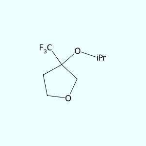 CC(C)OC1(C(F)(F)F)CCOC1